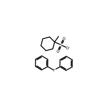 CC1(S(=O)(=O)[O-])CCCCC1.c1ccc([I+]c2ccccc2)cc1